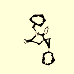 O=C1C[C@]2(C[C@@H]2c2ccccc2)C(=O)N1Cc1ccccc1